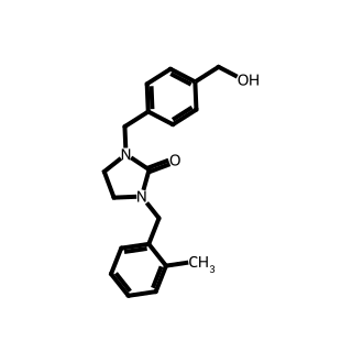 Cc1ccccc1CN1CCN(Cc2ccc(CO)cc2)C1=O